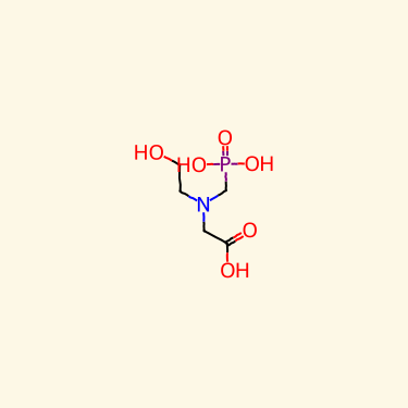 O=C(O)CN(CCO)CP(=O)(O)O